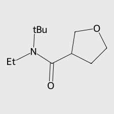 CCN(C(=O)C1CCOC1)C(C)(C)C